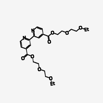 CCOCCOCCOC(=O)c1ccnc(-c2cc(C(=O)OCCOCCOCC)ccn2)c1